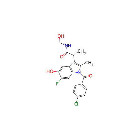 Cc1c([C@@H](C)C(=O)NCO)c2cc(O)c(F)cc2n1C(=O)c1ccc(Cl)cc1